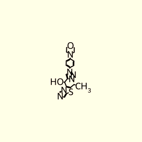 CCc1sc2cncn2c1C(O)c1cn(-c2ccc(N3CCOCC3)cc2)nn1